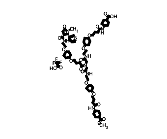 COC(=O)C1CCC(NC(=O)CCCOC2CCC(OCCNC(=O)CN(CC(=O)NCCOC3CCC(OCCCC(=O)NC4CCC(C(=O)O)CC4)CC3)C(=O)CCCOC3CCC(OCCNC(=O)[C@H]4CC(=O)N(C)[C@@H]4c4cccnc4)CC3)CC2)CC1.O=C(O)C(F)(F)F